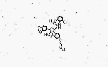 CCOCCOc1ccc(C2C(C(=O)O)C(c3ccc4c(c3)OCO4)CN2CC(=O)Nc2c(C)cccc2C)cc1